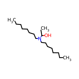 CCCCCCCCN(CCCCCCCC)C(O)CC